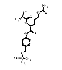 CC(C)C(N)C(=O)NC(CCCNC(N)=O)C(=O)Nc1ccc(CO[Si](C)(C)C(C)(C)C)cc1